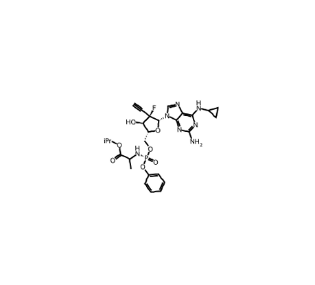 C#C[C@@]1(F)[C@H](O)[C@@H](CO[P@](=O)(NC(C)C(=O)OC(C)C)Oc2ccccc2)O[C@H]1n1cnc2c(NC3CC3)nc(N)nc21